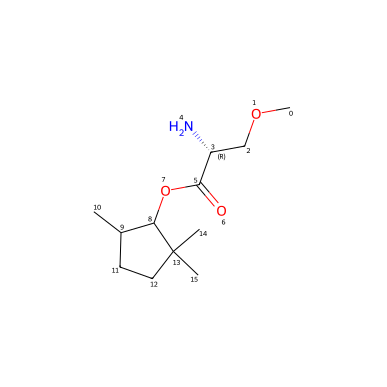 COC[C@@H](N)C(=O)OC1C(C)CCC1(C)C